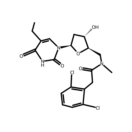 CCc1cn([C@H]2C[C@H](O)[C@@H](CN(C)C(=O)Cc3c(Cl)cccc3Cl)O2)c(=O)[nH]c1=O